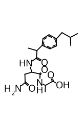 CC(C)Cc1ccc(C(C)C(=O)NC(CC(N)=O)C(=O)NC(C)C(=O)O)cc1